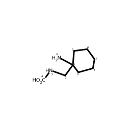 NC1(CNC(=O)O)CCCCC1